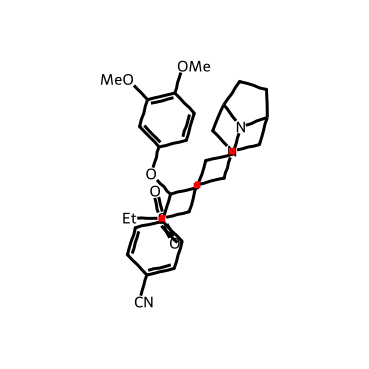 CCS(=O)(=O)CCCN1CC2CCC(C1)N2CCCC(Oc1ccc(OC)c(OC)c1)c1ccc(C#N)cc1